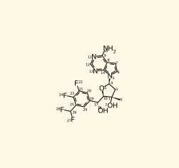 C[C@]1(O)C[C@H](n2ccc3c(N)ncnc32)O[C@@H]1[C@H](O)c1cc(F)c(F)c(C(F)F)c1